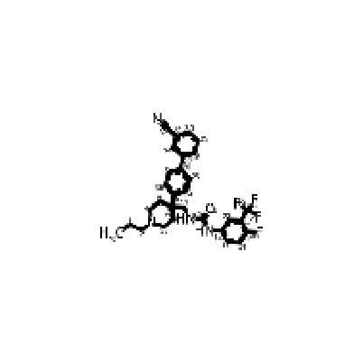 CCCN1CCC(CNC(=O)Nc2ccc(F)c(C(F)(F)F)c2)(c2ccc(-c3cccc(C#N)c3)cc2)CC1